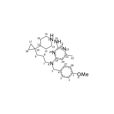 COc1ccc(CN(CCCC2(C3CCNCC3)CC2)c2cc(C)nc(N)n2)cc1